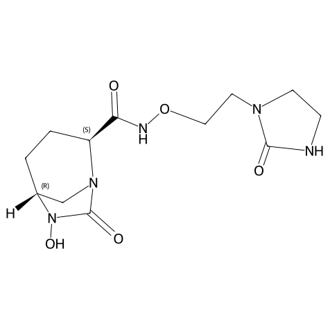 O=C(NOCCN1CCNC1=O)[C@@H]1CC[C@@H]2CN1C(=O)N2O